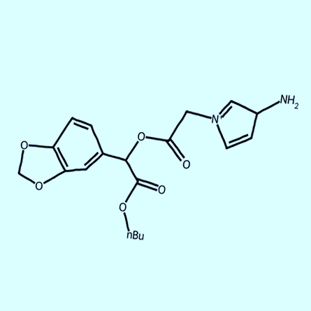 CCCCOC(=O)C(OC(=O)C[N+]1=CC(N)C=C1)c1ccc2c(c1)OCO2